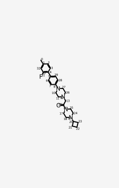 Cc1ccc(-c2ccc(N3CCN(CC(=O)N4CCN(C5CCC5)CC4)CC3)cc2)c(F)c1